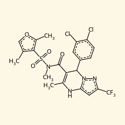 CC1=C(C(=O)N(C)S(=O)(=O)c2c(C)coc2C)C(c2ccc(Cl)c(Cl)c2)n2nc(C(F)(F)F)cc2N1